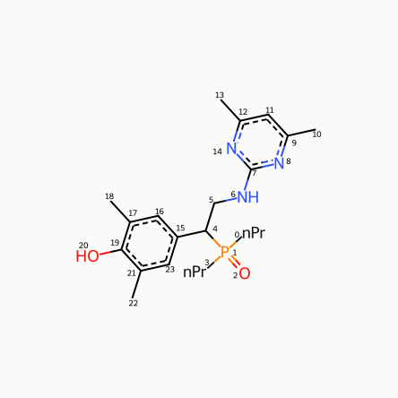 CCCP(=O)(CCC)C(CNc1nc(C)cc(C)n1)c1cc(C)c(O)c(C)c1